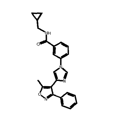 Cc1onc(-c2ccccc2)c1-c1cn(-c2cccc(C(=O)NCC3CC3)c2)cn1